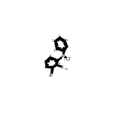 Fc1cccc(P(Cl)c2ccccc2)c1F